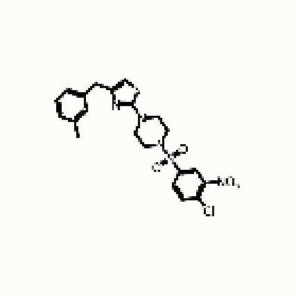 Cc1cccc(Cc2csc(N3CCN(S(=O)(=O)c4ccc(Cl)c([N+](=O)[O-])c4)CC3)n2)c1